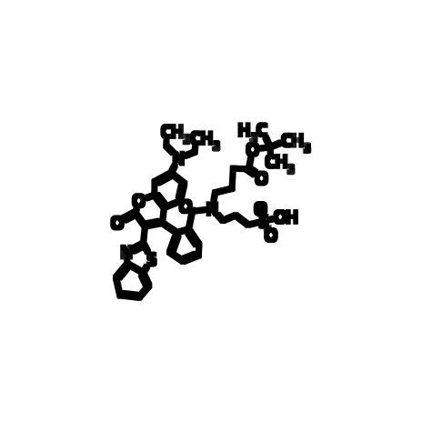 CCN(CC)c1ccc2c(-c3ccccc3C(=O)N(CCCC(=O)OC(C)(C)C)CCCS(=O)(=O)O)c(-c3nc4ccccc4s3)c(=O)oc2c1